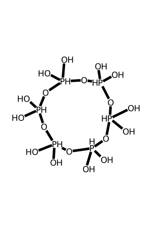 O[PH]1(O)O[PH](O)(O)O[PH](O)(O)O[PH](O)(O)O[PH](O)(O)O[PH](O)(O)O1